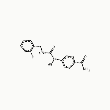 NC(=O)c1ccc(N(S)C(=O)NCc2ccccc2F)cc1